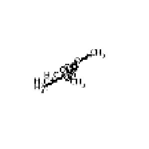 CC/C=C/CCOc1ccc2c(OC(C)=O)c(OC/C=C(\C)CCC=C(C)C)c(=O)oc2c1